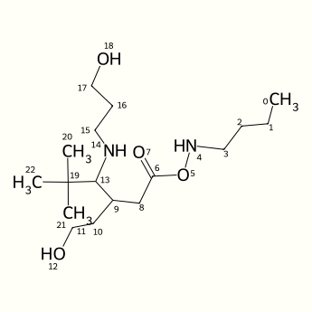 CCCCNOC(=O)CC(CCO)C(NCCCO)C(C)(C)C